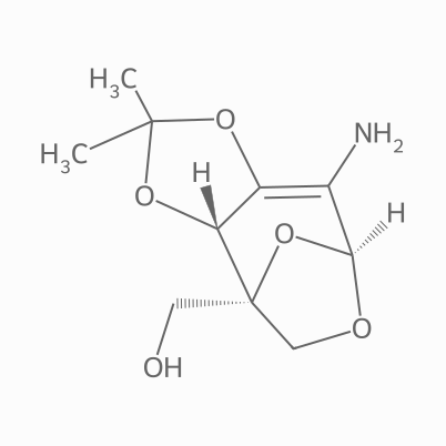 CC1(C)OC2=C(N)[C@H]3OC[C@](CO)(O3)[C@@H]2O1